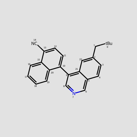 CC(C)(C)Cc1ccc2cncc(-c3ccc(C#N)c4ccccc34)c2c1